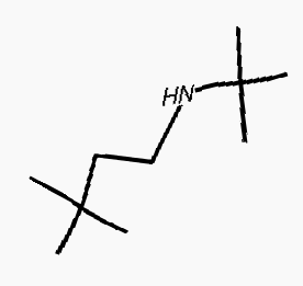 CC(C)(C)CCNC(C)(C)C